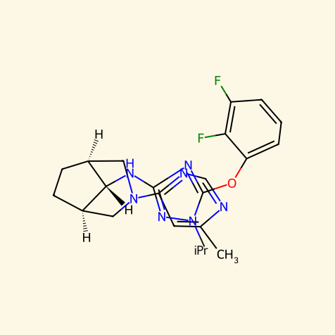 Cc1cc(N2C[C@H]3CC[C@@H](C2)[C@@H]3Nc2nc(Oc3cccc(F)c3F)n(C(C)C)n2)ncn1